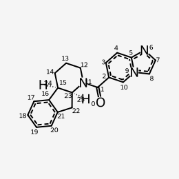 O=C(c1ccc2nccn2c1)N1CCC[C@@H]2c3ccccc3C[C@@H]21